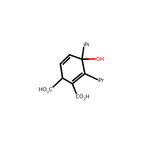 CC(C)C1=C(C(=O)O)C(C(=O)O)C=CC1(O)C(C)C